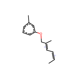 C/C=C\C=C(/C)COc1cccc(C)c1